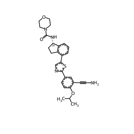 CC(C)Oc1ccc(-c2ncc(-c3cccc4c3CC[C@@H]4NC(=O)N3CCOCC3)s2)cc1C#CN